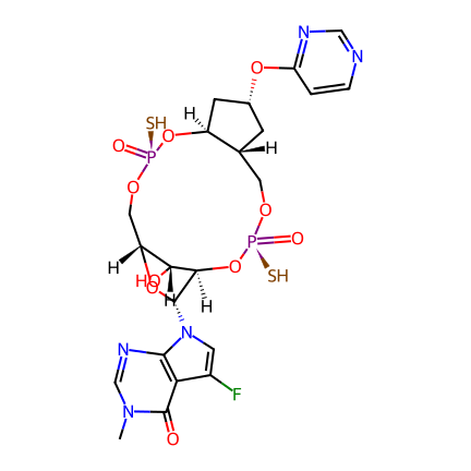 Cn1cnc2c(c(F)cn2[C@@H]2O[C@@H]3CO[P@@](=O)(S)O[C@H]4C[C@H](Oc5ccncn5)C[C@@H]4CO[P@@](=O)(S)O[C@@H]2[C@@H]3O)c1=O